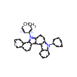 C/C=C\C(=C/C)n1c2ccc3c(c4ccccc4n3-c3ccccc3)c2c2ccc3ccccc3c21